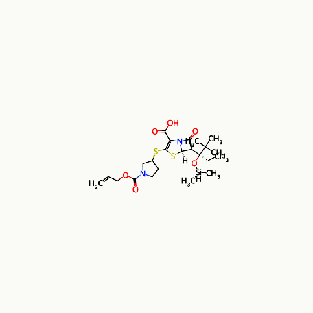 C=CCOC(=O)N1CC[C@H](SC2=C(C(=O)O)N3C(=O)[C@@H]([C@](CC)(O[SiH](C)C)C(C)(C)C)[C@H]3S2)C1